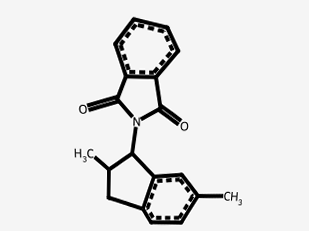 Cc1ccc2c(c1)C(N1C(=O)c3ccccc3C1=O)C(C)C2